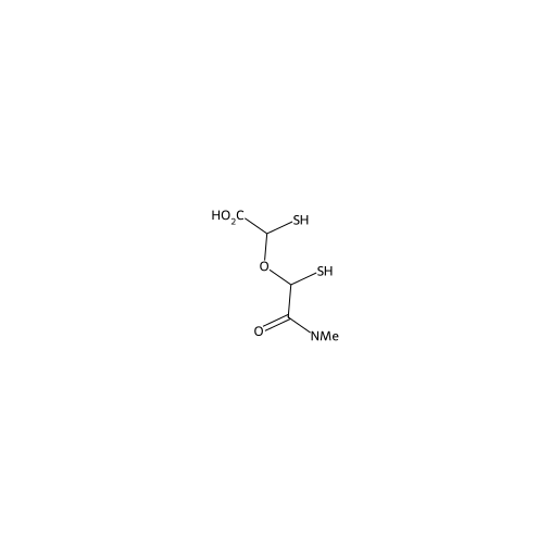 CNC(=O)C(S)OC(S)C(=O)O